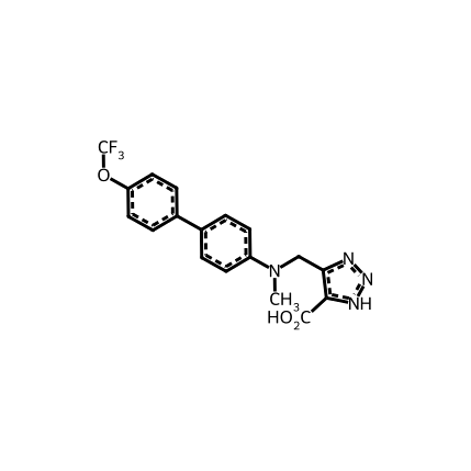 CN(Cc1nn[nH]c1C(=O)O)c1ccc(-c2ccc(OC(F)(F)F)cc2)cc1